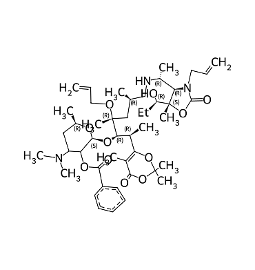 C=CCO[C@](C)(C[C@@H](C)CN[C@H](C)[C@H]1N(CC=C)C(=O)O[C@]1(C)[C@H](O)CC)[C@H](O[C@@H]1O[C@H](C)CC(N(C)C)C1OC(=O)c1ccccc1)[C@@H](C)C1=C(C)C(=O)OC(C)(C)O1